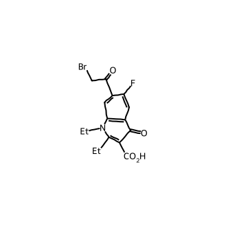 CCc1c(C(=O)O)c(=O)c2cc(F)c(C(=O)CBr)cc2n1CC